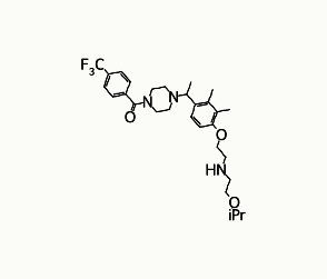 Cc1c(OCCNCCOC(C)C)ccc(C(C)N2CCN(C(=O)c3ccc(C(F)(F)F)cc3)CC2)c1C